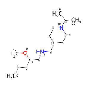 CCCC(CNCC1CCN(C(C)C)CC1)OC